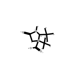 CN1C(=O)C[N+](C(=O)[O-])(C(C)(C)C)C1C(C)(C)C